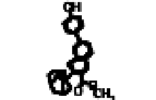 COC(=O)c1cc2ccc(-c3ccc(O)cc3)cc2cc1C12CC3CC(CC(C3)C1)C2